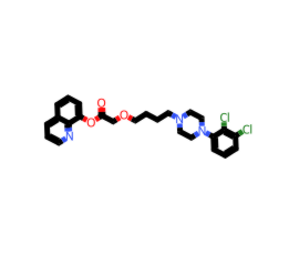 O=C(COCCCCN1CCN(c2cccc(Cl)c2Cl)CC1)Oc1cccc2cccnc12